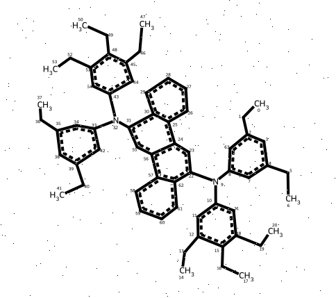 CCc1cc(CC)cc(N(c2cc(CC)c(CC)c(CC)c2)c2cc3c4ccccc4c(N(c4cc(CC)cc(CC)c4)c4cc(CC)c(CC)c(CC)c4)cc3c3ccccc23)c1